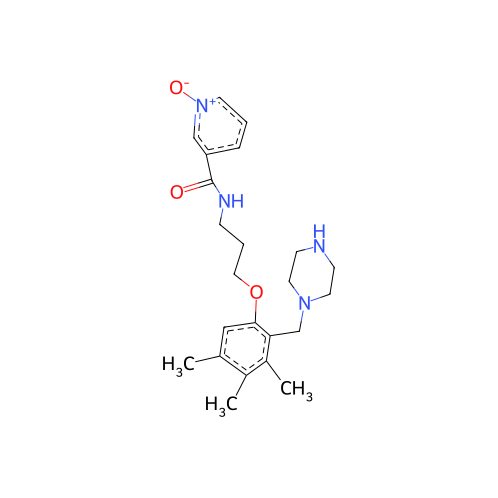 Cc1cc(OCCCNC(=O)c2ccc[n+]([O-])c2)c(CN2CCNCC2)c(C)c1C